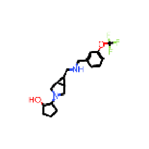 OC1CCCC1N1CC2C(CNCc3cccc(OC(F)(F)F)c3)C2C1